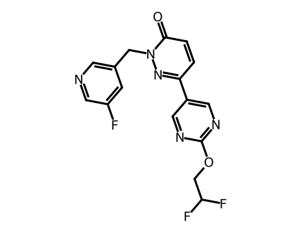 O=c1ccc(-c2cnc(OCC(F)F)nc2)nn1Cc1cncc(F)c1